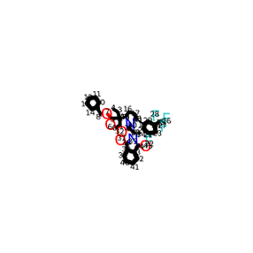 CCC(CC)(C(=O)OCc1ccccc1)[C@H]1CC[C@@H](c2cc(F)cc(C(F)(F)F)c2)N1C(=O)[C@@H](C)N1C(=O)c2ccccc2C1=O